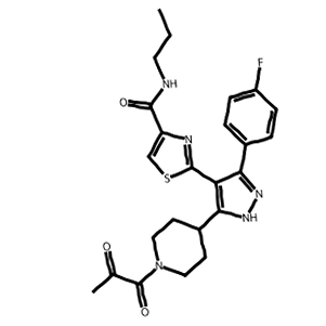 CCCNC(=O)c1csc(-c2c(-c3ccc(F)cc3)n[nH]c2C2CCN(C(=O)C(C)=O)CC2)n1